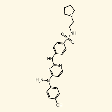 NN(c1ccc(O)cc1)c1ccnc(Nc2ccc(S(=O)(=O)NCCN3CCCC3)cc2)n1